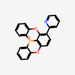 O=P12c3ccccc3Oc3ccc(-c4ccccn4)c(c31)Oc1ccccc12